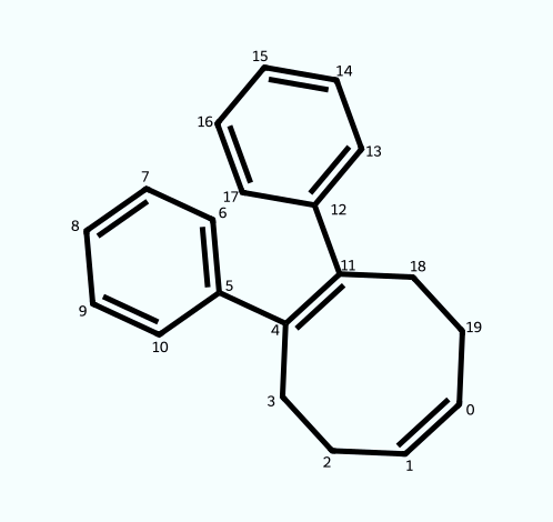 C1=CCCC(c2ccccc2)=C(c2ccccc2)CC1